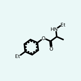 CCNC(C)C(=O)Oc1ccc(CC)cc1